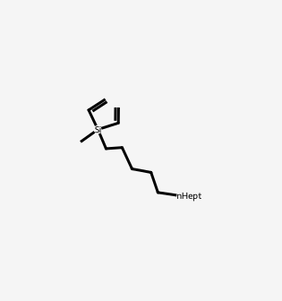 C=C[Si](C)(C=C)CCCCCCCCCCCC